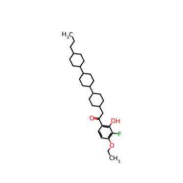 CCCC1CCC(C2CCC(C3CCC(CC(=O)c4ccc(OCC)c(F)c4O)CC3)CC2)CC1